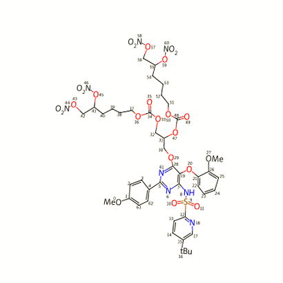 COc1ccc(-c2nc(NS(=O)(=O)c3ccc(C(C)(C)C)cn3)c(Oc3ccccc3OC)c(OCC(COC(=O)OCCCCC(CO[N+](=O)[O-])O[N+](=O)[O-])OC(=O)OCCCCC(CO[N+](=O)[O-])O[N+](=O)[O-])n2)cc1